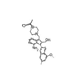 COc1cc(C)cc2cc(-c3c(CO)c(CN4CCN(C(C)=O)CC4)n4ncnc(N)c34)sc12